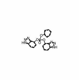 O=P(Oc1ccccc1)(Oc1cccc2[nH]nnc12)Oc1cccc2[nH]nnc12